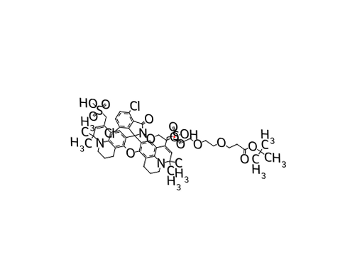 CC(C)(C)OC(=O)CCOCCOCCOCCON1C(=O)c2c(Cl)ccc(Cl)c2C12c1cc3c4c(c1Oc1c2cc2c5c1CCCN5C(C)(C)C=C2CS(=O)(=O)O)CCCN4C(C)(C)C=C3CS(=O)(=O)O